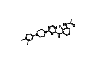 CC(=O)Nc1cccc(Nc2ncnc(N3CCN(c4ccc(C)c(C)c4)CC3)n2)c1F